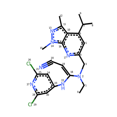 CCN(Cc1cc(C(C)C)c2c(C)nn(C)c2n1)/C(=C/C#N)Nc1cc(Cl)nc(Cl)c1